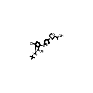 CC(O)C1CN(c2ccc(Nc3ccc(Cl)c4c3C(O)N(C(=O)OC(C)(C)C)C4)nc2)CCO1